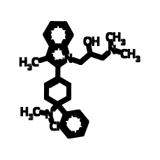 Cc1c(C2=CCC(c3ccccc3)(N(C)C)CC2)n(CC(O)CN(C)C)c2ccccc12